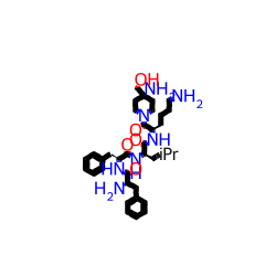 CC(C)C[C@@H](NC(=O)[C@@H](Cc1ccccc1)NC(=O)[C@H](N)Cc1ccccc1)C(=O)N[C@H](CCCCN)C(=O)N1CCC(N)(CO)CC1